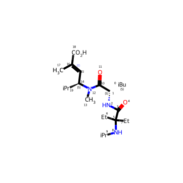 CC[C@H](C)[C@H](NC(=O)C(CC)(CC)NC(C)C)C(=O)N(C)[C@H](/C=C(\C)C(=O)O)C(C)C